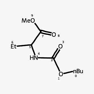 CCCCOC(=O)NC(CC)C(=O)OC